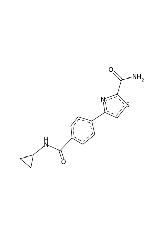 NC(=O)c1nc(-c2ccc(C(=O)NC3CC3)cc2)cs1